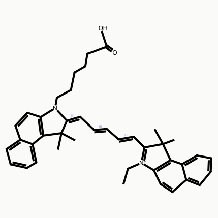 CC[N+]1=C(/C=C/C=C/C=C2/N(CCCCCC(=O)O)c3ccc4ccccc4c3C2(C)C)C(C)(C)c2c1ccc1ccccc21